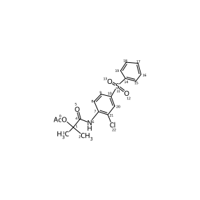 CC(=O)OC(C)(C)C(=O)Nc1ccc(S(=O)(=O)c2ccccc2)cc1Cl